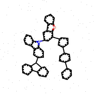 c1ccc(-c2ccc(-c3cccc(-c4cc(-n5c6ccccc6c6cc(C7c8ccccc8-c8ccccc87)ccc65)cc5c4oc4ccccc45)c3)cc2)cc1